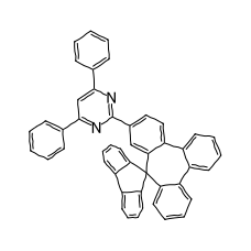 c1ccc(-c2cc(-c3ccccc3)nc(-c3ccc4c(c3)C3(c5ccccc5-c5ccccc5-4)c4ccccc4-c4ccccc43)n2)cc1